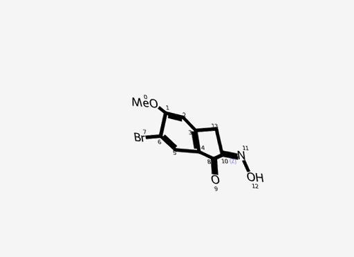 COc1cc2c(cc1Br)C(=O)/C(=N\O)C2